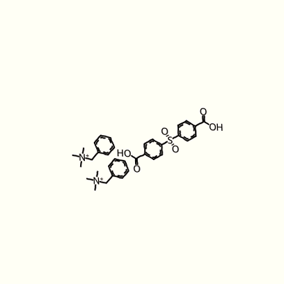 C[N+](C)(C)Cc1ccccc1.C[N+](C)(C)Cc1ccccc1.O=C(O)c1ccc(S(=O)(=O)c2ccc(C(=O)O)cc2)cc1